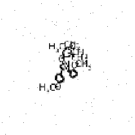 COc1ccc(-c2cc(OC3CC(C)(C)[S+]([O-])C(C)(C)C3)nn2-c2ccccc2OC)cc1